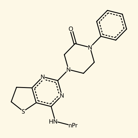 CCCNc1nc(N2CCN(c3ccccc3)C(=O)C2)nc2c1SCC2